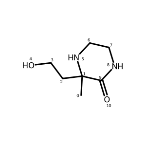 CC1(CCO)NCCNC1=O